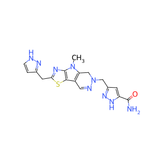 Cn1c2c(c3sc(Cc4cc[nH]n4)nc31)C=NN(Cc1cc(C(N)=O)[nH]n1)C2